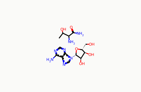 CC(O)C(N)C(N)=O.Nc1ncnc2c1ncn2[C@@H]1O[C@H](CO)[C@@H](O)[C@H]1O